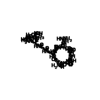 C/C(=N/O)C(C)(C)NCCC(CCNC(=O)CCCC(=O)NCCCC[C@@H]1NC(=O)CSC[C@@H](C(N)=O)NC(=O)[C@H](Cc2ccccc2)NC(=O)[C@H](CS)NC(=O)[C@H](CC(=O)O)NC(=O)CNC(=O)[C@H](CCCNC(=N)N)NC(=O)[C@H](CS)NC1=O)CCNC(C)(C)/C(C)=N\O